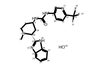 CN1CC[C@@H](NC(=O)Nc2ccc(C(F)(F)F)nc2)C[C@@H]1c1nc2ccccc2[nH]1.Cl